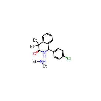 CCC1(CC)C(=O)NC(c2ccc(Cl)cc2)c2ccccc21.CCNCC